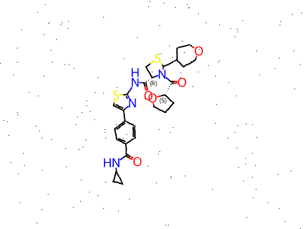 O=C(NC1CC1)c1ccc(-c2csc(NC(=O)[C@@H]3CSC(C4CCOCC4)N3C(=O)[C@@H]3CCCO3)n2)cc1